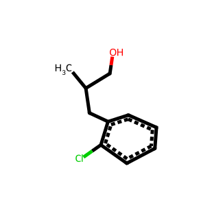 CC(CO)Cc1ccccc1Cl